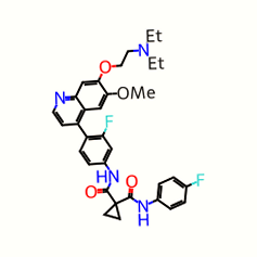 CCN(CC)CCOc1cc2nccc(-c3ccc(NC(=O)C4(C(=O)Nc5ccc(F)cc5)CC4)cc3F)c2cc1OC